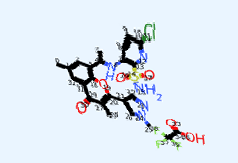 Cc1cc(C(C)Nc2ccc(Cl)nc2S(N)(=O)=O)c2oc(-c3cnn(C)c3)c(C)c(=O)c2c1.O=C(O)C(F)(F)F